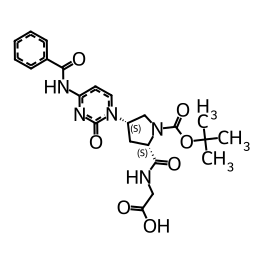 CC(C)(C)OC(=O)N1C[C@@H](n2ccc(NC(=O)c3ccccc3)nc2=O)C[C@H]1C(=O)NCC(=O)O